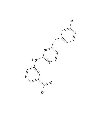 O=[N+]([O-])c1cccc(Nc2nccc(Sc3cccc(Br)c3)n2)c1